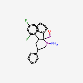 NP1CC(c2ccccc2)CC(c2ccc(F)cc2F)C1(P=O)c1ccccc1